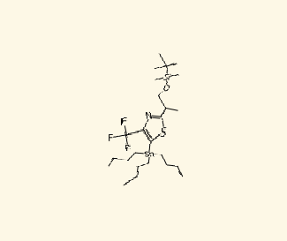 CCC[CH2][Sn]([CH2]CCC)([CH2]CCC)[c]1sc(C(C)CO[Si](C)(C)C(C)(C)C)nc1C(F)(F)F